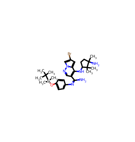 CC1(N)CCC(Nc2c(C(N)=Nc3ccc(O[Si](C)(C)C(C)(C)C)cc3)cnn3cc(Br)cc23)C1(C)C